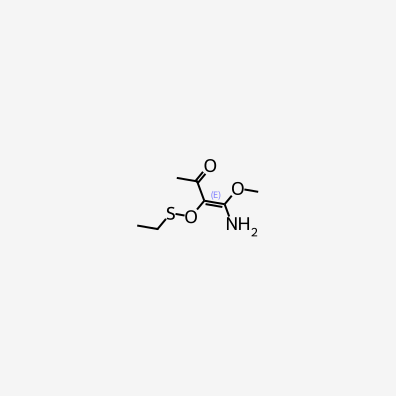 CCSO/C(C(C)=O)=C(\N)OC